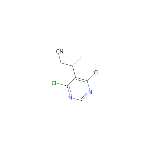 CC(CC#N)c1c(Cl)ncnc1Cl